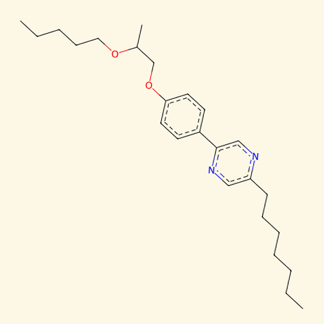 CCCCCCCc1cnc(-c2ccc(OCC(C)OCCCCC)cc2)cn1